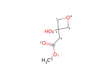 COC(=O)CC1(O)COC1